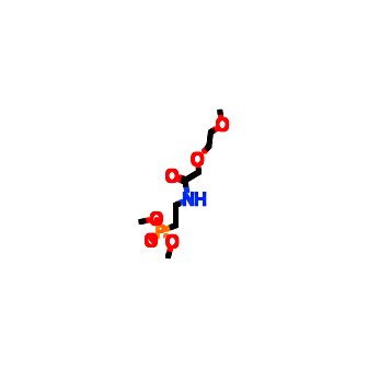 COCCOCC(=O)NCCP(=O)(OC)OC